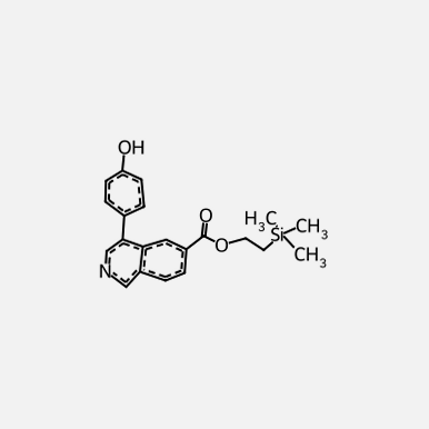 C[Si](C)(C)CCOC(=O)c1ccc2cncc(-c3ccc(O)cc3)c2c1